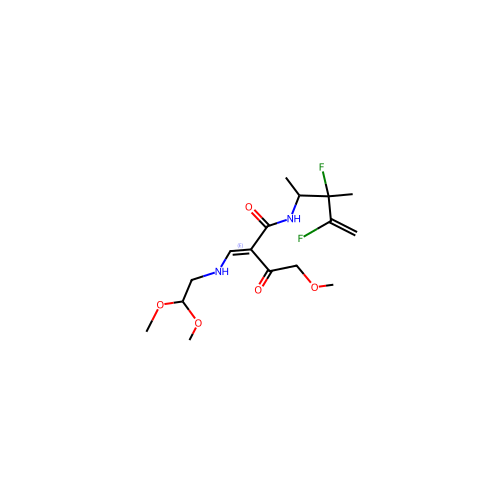 C=C(F)C(C)(F)C(C)NC(=O)/C(=C/NCC(OC)OC)C(=O)COC